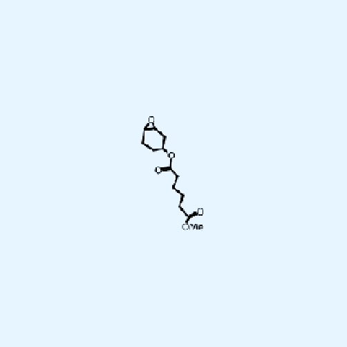 COC(=O)CCCCC(=O)OC1CCC2OC2C1